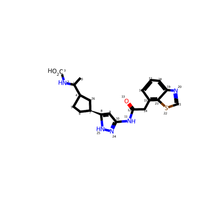 CC(NC(=O)O)C1CC[C@H](c2cc(NC(=O)Cc3cccc4ncsc34)n[nH]2)C1